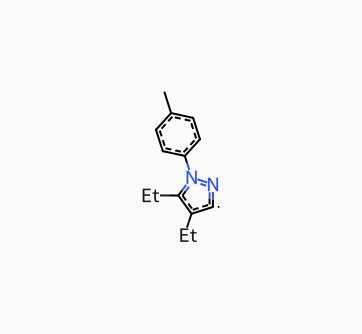 CCc1[c]nn(-c2ccc(C)cc2)c1CC